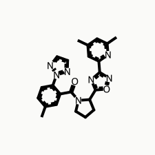 Cc1cc(C)nc(-c2noc(C3CCCN3C(=O)c3cc(C)ccc3-n3nccn3)n2)c1